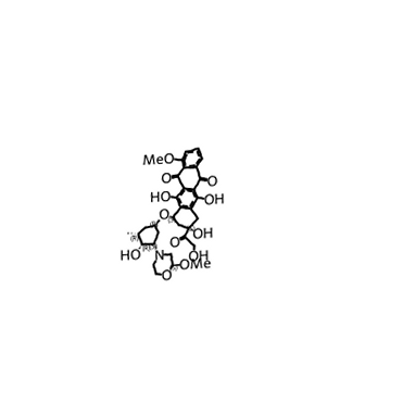 COc1cccc2c1C(=O)c1c(O)c3c(c(O)c1C2=O)C[C@@](O)(C(=O)CO)C[C@@H]3O[C@@H]1C[C@@H](C)[C@@H](O)[C@@H](N2CCO[C@H](OC)C2)C1